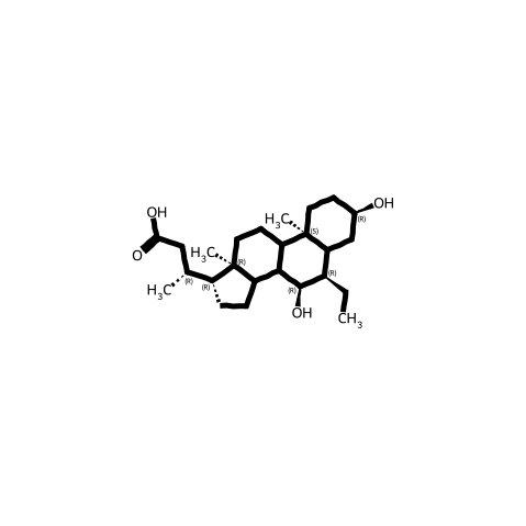 CC[C@@H]1C2C[C@H](O)CC[C@]2(C)C2CC[C@@]3(C)C(CC[C@@H]3[C@H](C)CC(=O)O)C2[C@@H]1O